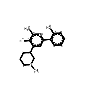 CN1CCCC(c2cc(-c3ccccc3O)nc(N)c2C#N)C1